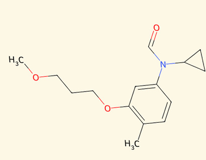 COCCCOc1cc(N(C=O)C2CC2)ccc1C